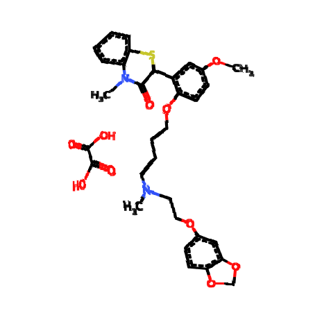 COc1ccc(OCCCCN(C)CCOc2ccc3c(c2)OCO3)c(C2Sc3ccccc3N(C)C2=O)c1.O=C(O)C(=O)O